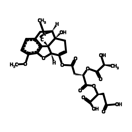 COc1ccc2c3c1O[C@@H]1C(OC(=O)C[C@H](OC(=O)[C@H](C)O)C(=O)O[C@@H](CC(=O)O)C(=O)O)=CC[C@]4(O)[C@H](C2)N(C)CC[C@@]314